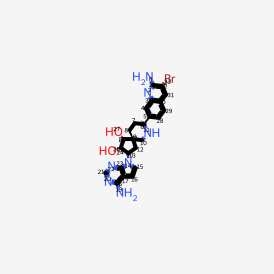 Nc1nc2cc([C@@H]3CC[C@@]4(CN3)C[C@@H](n3ccc5c(N)ncnc53)[C@H](O)[C@@H]4O)ccc2cc1Br